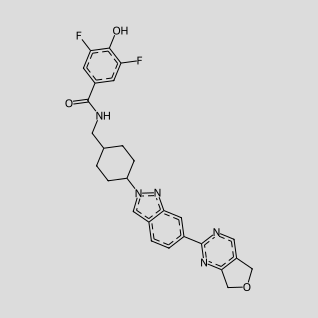 O=C(NCC1CCC(n2cc3ccc(-c4ncc5c(n4)COC5)cc3n2)CC1)c1cc(F)c(O)c(F)c1